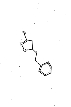 BrC1=NOC(CCc2ccccc2)C1